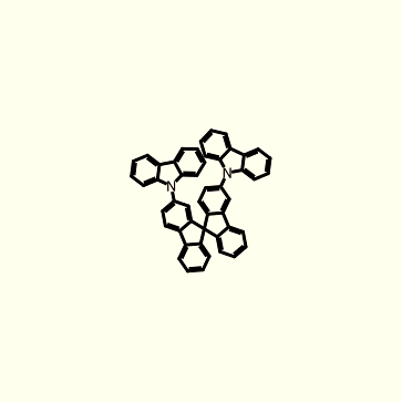 c1ccc2c(c1)-c1cc(-n3c4ccccc4c4ccccc43)ccc1C21c2ccccc2-c2ccc(-n3c4ccccc4c4ccccc43)cc21